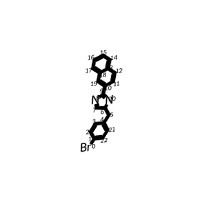 Brc1ccc(CC2C=NC(c3ccc4ccccc4c3)=N2)cc1